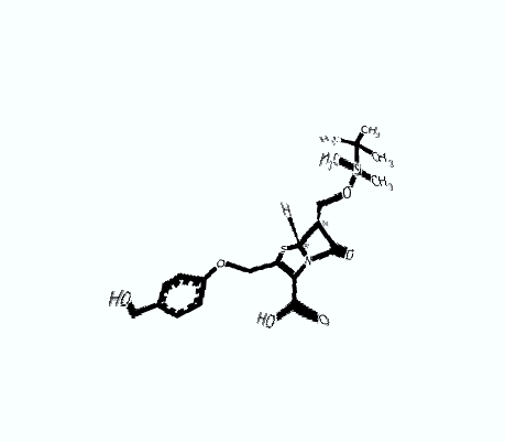 CC(C)(C)[Si](C)(C)OC[C@H]1C(=O)N2C(C(=O)O)=C(COc3ccc(CO)cc3)S[C@H]12